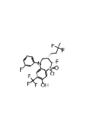 CC(F)(F)CC[C@H]1CN(c2cccc(F)c2)c2cc(C(F)(F)F)c(O)cc2S(=O)(=O)[C@H]1F